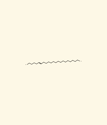 [CH2]CCCC/C=C/CCCCCCCCCCCCCCC[CH2]